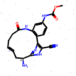 COC(=O)Nc1ccc2c(c1)NC(=O)CC/C=C/C[C@H](N)c1nc-2c(C#N)[nH]1